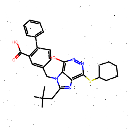 CC(C)(C)Cc1nc2c(SC3CCCCC3)nnc(O)c2n1Cc1ccc(-c2ccccc2)c(C(=O)O)c1